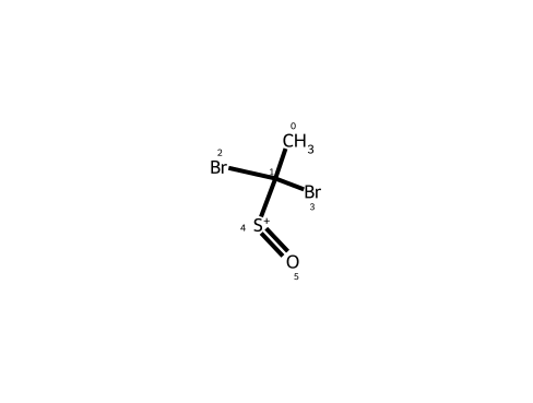 CC(Br)(Br)[S+]=O